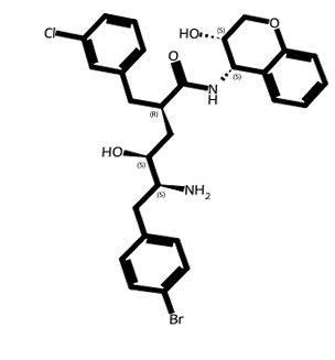 N[C@@H](Cc1ccc(Br)cc1)[C@@H](O)C[C@@H](Cc1cccc(Cl)c1)C(=O)N[C@H]1c2ccccc2OC[C@H]1O